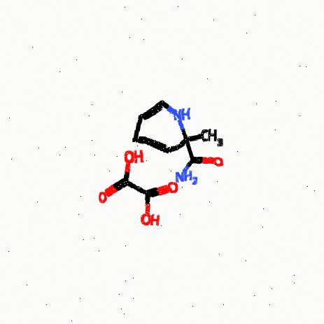 CC1(C(N)=O)C=CC=CN1.O=C(O)C(=O)O